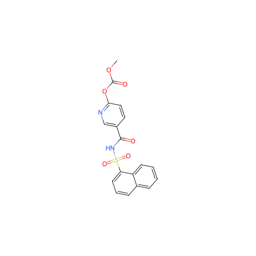 COC(=O)Oc1ccc(C(=O)NS(=O)(=O)c2cccc3ccccc23)cn1